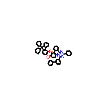 c1ccc(-c2cccc(-c3nc(-c4ccccc4)nc(-c4ccccc4-c4cccc5c4Oc4c(ccc6c4-c4ccccc4C6(c4ccccc4)c4ccccc4)O5)n3)c2)cc1